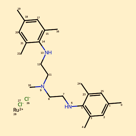 Cc1cc(C)c(NCCN(C)CCNc2c(C)cc(C)cc2C)c(C)c1.[Cl-].[Cl-].[Ru+2]